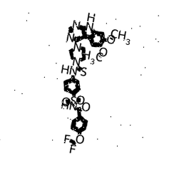 COc1cc2[nH]c3ncnc(N4CCN(C(=S)Nc5ccc(S(=O)(=O)NC(=O)c6ccc(OC(F)F)cc6)cc5)CC4)c3c2cc1OC